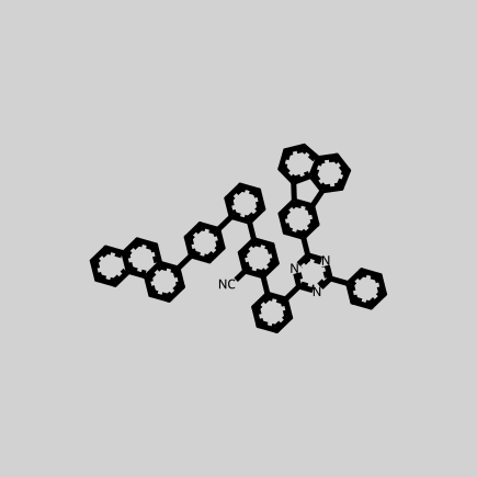 N#Cc1cc(-c2ccccc2-c2ccc(-c3cccc4c3ccc3ccccc34)cc2)ccc1-c1ccccc1-c1nc(-c2ccccc2)nc(-c2ccc3c(c2)-c2cccc4cccc-3c24)n1